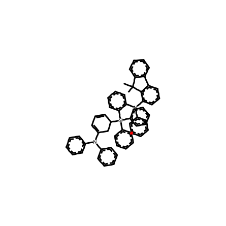 CC1(C)c2ccccc2-c2cccc(N(c3ccccc3)c3ccccc3[Si](c3ccccc3)(c3ccccc3)C3C=CC=C(N(c4ccccc4)c4ccccc4)C3)c21